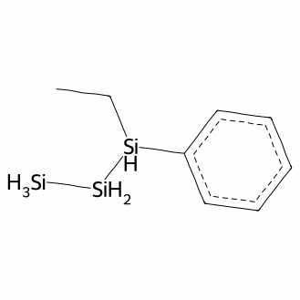 CC[SiH]([SiH2][SiH3])c1ccccc1